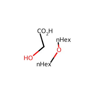 CCCCCCOCCCCCC.O=C(O)CO